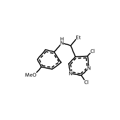 CCC(Nc1ccc(OC)cc1)c1cnc(Cl)nc1Cl